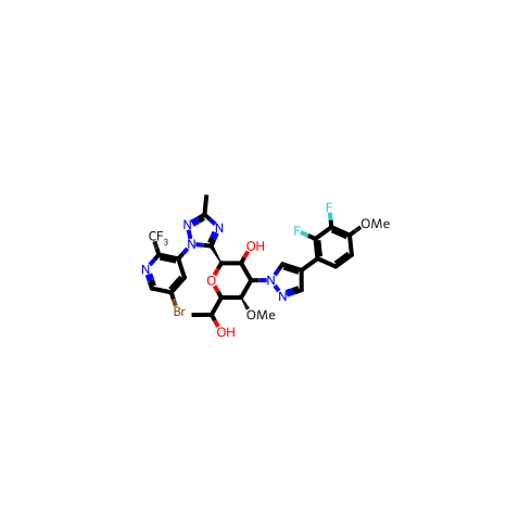 COc1ccc(-c2cnn(C3C(O)[C@H](c4nc(C)nn4-c4cc(Br)cnc4C(F)(F)F)OC(C(C)O)[C@@H]3OC)c2)c(F)c1F